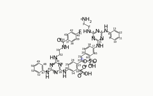 NCCNc1nc(Nc2ccccc2)nc(Nc2ccc(/C=C/c3ccc(Nc4nc(NCCNC(=O)c5ccc(F)cc5)nc(Nc5ccccc5)n4)cc3S(=O)(=O)O)c(S(=O)(=O)O)c2)n1